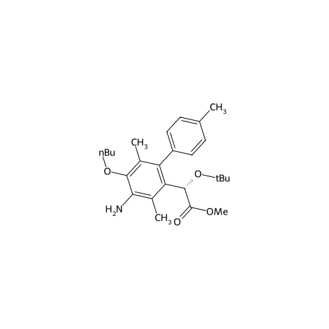 CCCCOc1c(C)c(-c2ccc(C)cc2)c([C@H](OC(C)(C)C)C(=O)OC)c(C)c1N